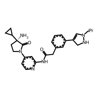 CC(C)N1C=C(c2cccc(CC(=O)Nc3cc(N4CC[C@@](N)(C5CC5)C4=O)ccn3)c2)CN1